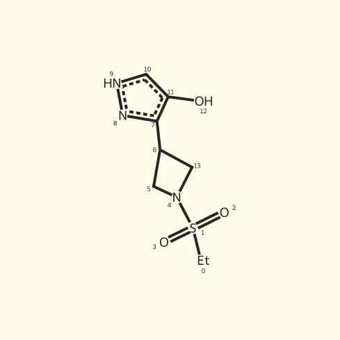 CCS(=O)(=O)N1CC(c2n[nH]cc2O)C1